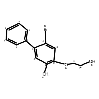 Cc1cc(-c2ccccc2)c(Br)cc1OCCO